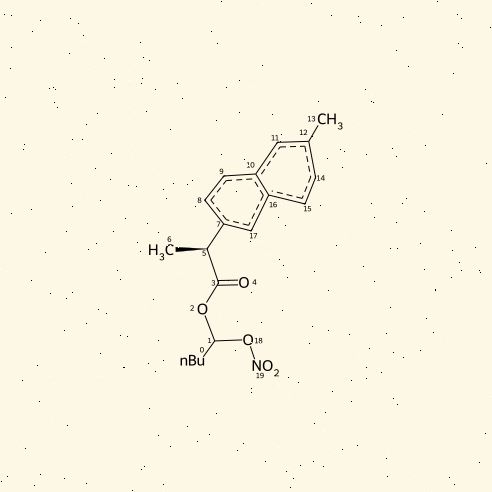 CCCCC(OC(=O)[C@@H](C)c1ccc2cc(C)ccc2c1)O[N+](=O)[O-]